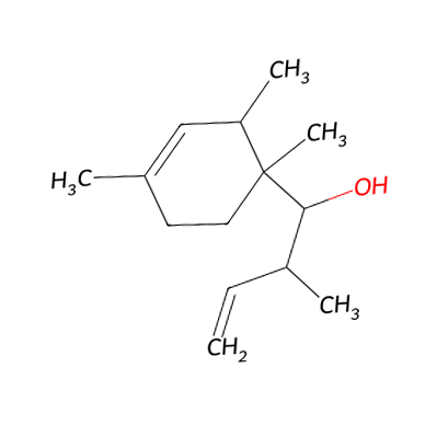 C=CC(C)C(O)C1(C)CCC(C)=CC1C